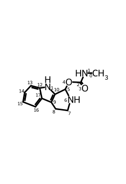 CNC(=O)OC1NCCc2c1[nH]c1ccccc21